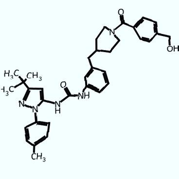 Cc1ccc(-n2nc(C(C)(C)C)cc2NC(=O)Nc2cccc(CC3CCN(C(=O)c4ccc(CO)cc4)CC3)c2)cc1